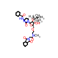 CN(CCOC[C@H]1O[C@@H](n2ccc(NC(=O)c3ccccc3)nc2=O)[C@@H](O[Si](C)(C)C(C)(C)C)C1O)C(=O)CN1C(=O)c2ccccc2C1=O